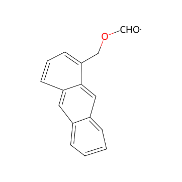 O=[C]OCc1cccc2cc3ccccc3cc12